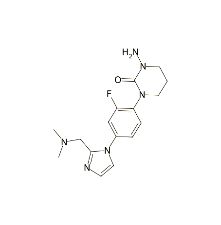 CN(C)Cc1nccn1-c1ccc(N2CCCN(N)C2=O)c(F)c1